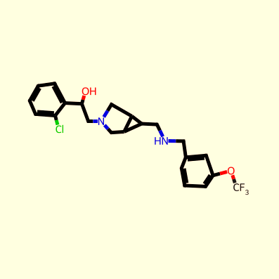 OC(CN1CC2C(CNCc3cccc(OC(F)(F)F)c3)C2C1)c1ccccc1Cl